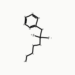 [CH2]CCCCC(F)(F)Cc1ccccc1